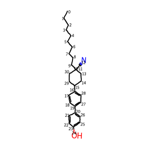 CCCCCCCCCCC1(C#N)CCC(c2ccc(-c3ccc(O)cc3)cc2)CC1